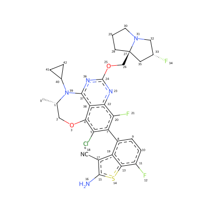 C[C@H]1COc2c(Cl)c(-c3ccc(F)c4sc(N)c(C#N)c34)c(F)c3nc(OC[C@@]45CCCN4C[C@H](F)C5)nc(c23)N1C1CC1